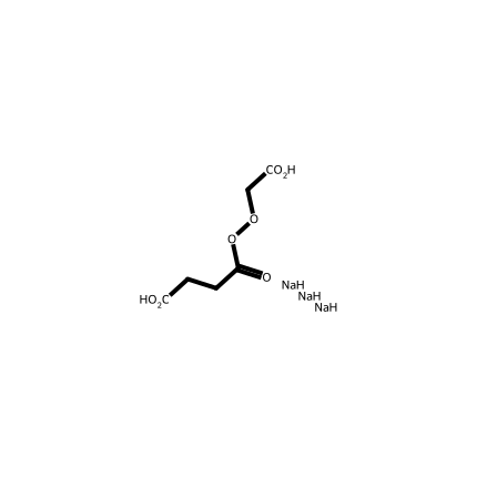 O=C(O)CCC(=O)OOCC(=O)O.[NaH].[NaH].[NaH]